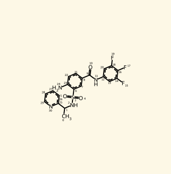 CC(NS(=O)(=O)c1cc(C(=O)Nc2cc(F)c(F)c(F)c2)ccc1N)c1ccccn1